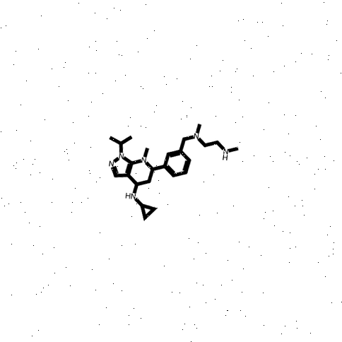 CNCCN(C)Cc1cccc(C2CC(NC3CC3)c3cnn(C(C)C)c3N2C)c1